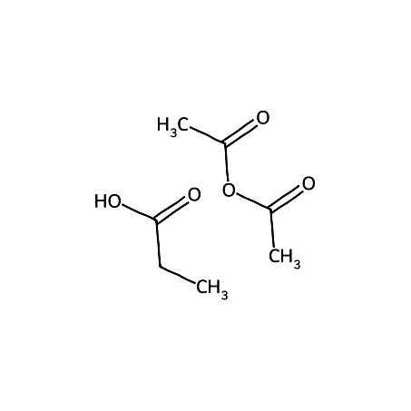 CC(=O)OC(C)=O.CCC(=O)O